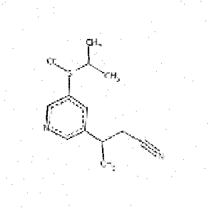 CC(CC#N)c1cncc([S+]([O-])C(C)C)c1